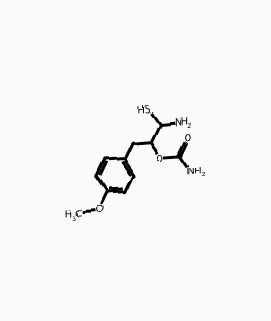 COc1ccc(CC(OC(N)=O)C(N)S)cc1